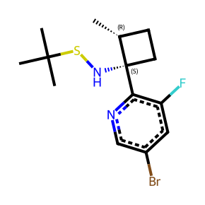 C[C@@H]1CC[C@@]1(NSC(C)(C)C)c1ncc(Br)cc1F